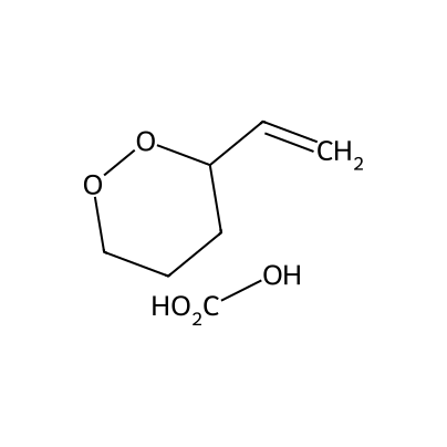 C=CC1CCCOO1.O=C(O)O